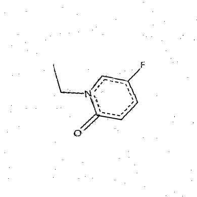 CCn1cc(F)ccc1=O